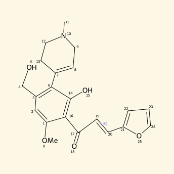 COc1cc(CO)c(C2=CCN(C)CC2)c(O)c1C(=O)/C=C/c1ccco1